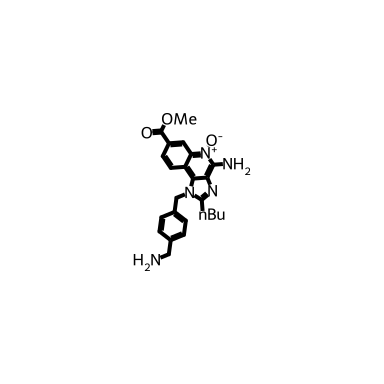 CCCCc1nc2c(N)[n+]([O-])c3cc(C(=O)OC)ccc3c2n1Cc1ccc(CN)cc1